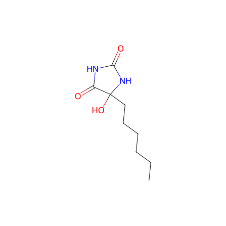 CCCCCCC1(O)NC(=O)NC1=O